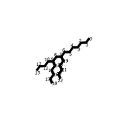 CCCCCCCC([CH]C(CCCC)CCCCC)CCCCC